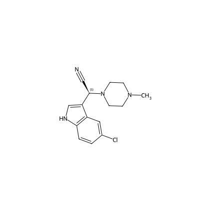 CN1CCN([C@H](C#N)c2c[nH]c3ccc(Cl)cc23)CC1